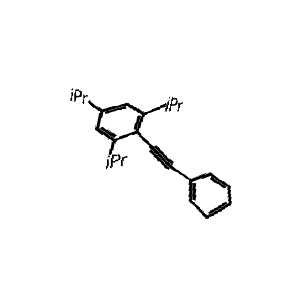 CC(C)c1cc(C(C)C)c(C#Cc2ccccc2)c(C(C)C)c1